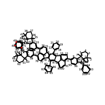 CC1(C)CCCC2(C)c3cc(-c4ccc5c6c(-c7ccccc7)c7c8ccc(-c9ccc%10c(c9)C9(C)CCCC(C)(C)C9(C)N%10c9ccccc9)c9c(-c%10ccc%11c(c%10)C%10(C)CCCC(C)(C)C%10(C)N%11c%10ccccc%10)ccc(c7c(-c7ccccc7)c6c6cccc4c65)c98)ccc3N(c3ccccc3)C12C